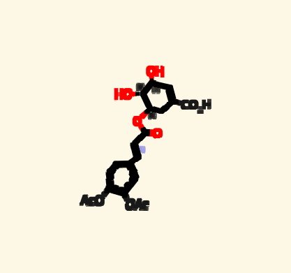 CC(=O)Oc1ccc(/C=C/C(=O)O[C@@H]2CC(C(=O)O)=C[C@@H](O)[C@H]2O)cc1OC(C)=O